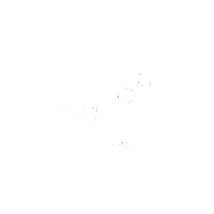 COCOCCc1c(CCN(C(=O)O)C(C)(C)C)cc2c(c1C)NC(=O)CC2